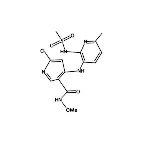 CONC(=O)c1cnc(Cl)cc1Nc1ccc(C)nc1NS(C)(=O)=O